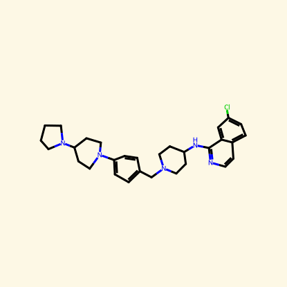 Clc1ccc2ccnc(NC3CCN(Cc4ccc(N5CCC(N6CCCC6)CC5)cc4)CC3)c2c1